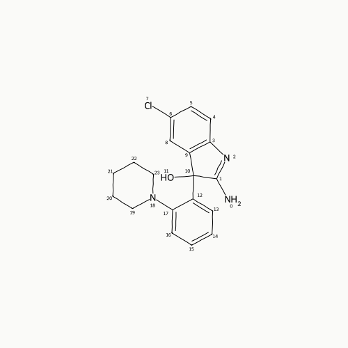 NC1=Nc2ccc(Cl)cc2C1(O)c1ccccc1N1CCCCC1